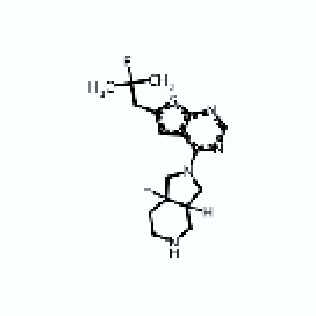 CC(C)(F)Cc1cc2c(N3C[C@H]4CCNC[C@H]4C3)ncnc2s1